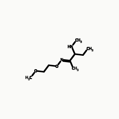 CCC(NC)/C(C)=N/OCCOC